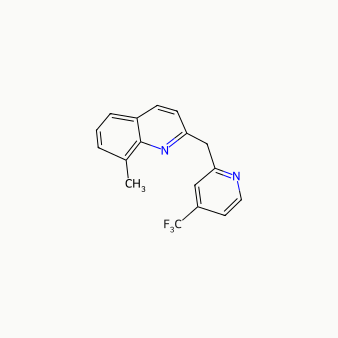 Cc1cccc2ccc(Cc3cc(C(F)(F)F)ccn3)nc12